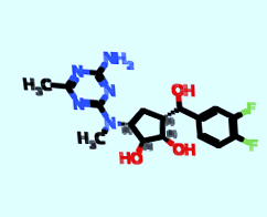 Cc1nc(N)nc(N(C)[C@@H]2C[C@H](C(O)c3ccc(F)c(F)c3)[C@@H](O)[C@H]2O)n1